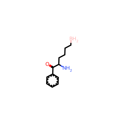 BCCCCC(N)C(=O)c1ccccc1